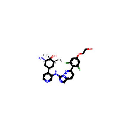 C[C@H]1C[C@@H](c2ccncc2Nc2ncc3ccc(-c4c(F)cc(OCCO)cc4F)nn23)C[C@@H](N)[C@]1(C)O